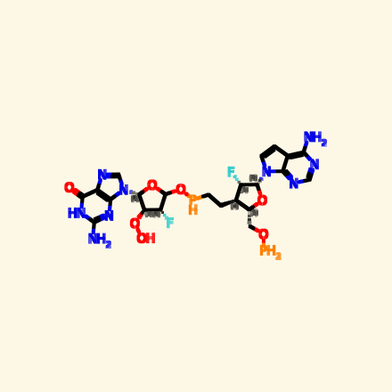 Nc1nc2c(ncn2[C@@H]2OC(OPCC[C@H]3[C@H](F)[C@H](n4ccc5c(N)ncnc54)O[C@@H]3COP)[C@H](F)[C@H]2OO)c(=O)[nH]1